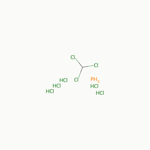 Cl.Cl.Cl.Cl.Cl.ClC(Cl)Cl.P